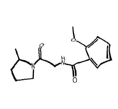 COc1ccccc1C(=O)NCC(=O)N1CCCC1C